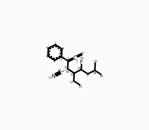 C=C=C(c1ccccc1)[C@@H](C#N)C(CC)C(F)CC(C)C